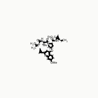 C=C[C@@H]1C[C@]1(NC(=O)[C@@H]1C[C@@H](Oc2cc(C3CC3)nc3cc(OC)ccc23)CN1C(=O)[C@@H](NC(=O)OC(=C)C)C(C)(C)C)C(=O)OCC